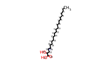 CCCCCCCCCCCCCCCCCCCC/C=C/CC(O)C(=O)O